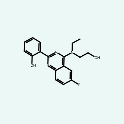 CCN(CCO)c1nc(-c2ccccc2O)nc2ccc(F)cc12